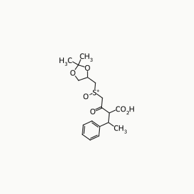 CC(c1ccccc1)C(C(=O)O)C(=O)C[S+]([O-])CC1COC(C)(C)O1